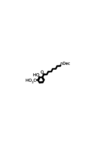 CCCCCCCCCCCCCCCCCC(=O)c1cccc(C(=O)O)c1O